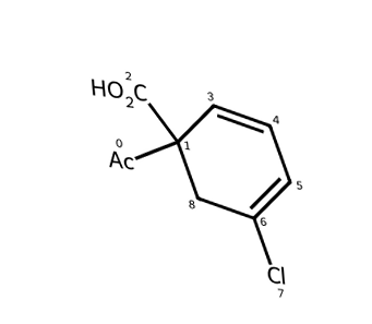 CC(=O)C1(C(=O)O)C=CC=C(Cl)C1